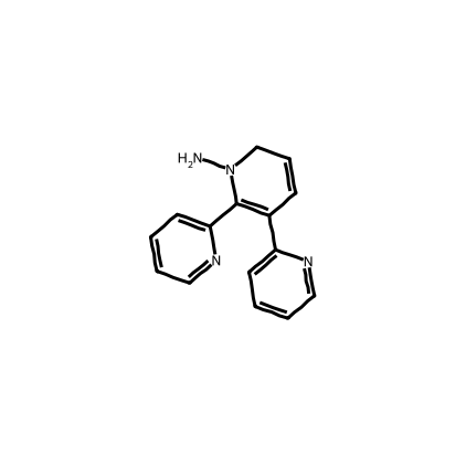 NN1CC=CC(c2ccccn2)=C1c1ccccn1